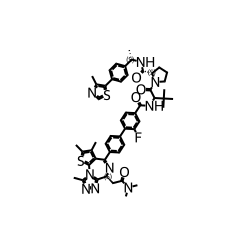 Cc1ncsc1-c1ccc([C@H](C)NC(=O)[C@@H]2CCCN2C(=O)C(NC(=O)c2ccc(-c3ccc(C4=N[C@@H](CC(=O)N(C)C)c5nnc(C)n5-c5sc(C)c(C)c54)cc3)c(F)c2)C(C)(C)C)cc1